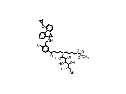 CC(CCCN(CCCCNS(C)(=O)=O)C(=O)[C@@H](O)[C@@H](O)[C@H](O)[C@@H](O)CO)c1ccc(Cl)c(CNC2(c3cnccc3-c3ccccc3OC3CC3)CC2)c1